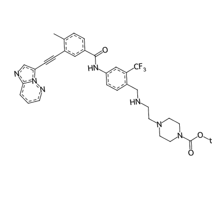 Cc1ccc(C(=O)Nc2ccc(CNCCN3CCN(C(=O)OC(C)(C)C)CC3)c(C(F)(F)F)c2)cc1C#Cc1cnc2cccnn12